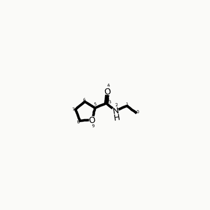 CCNC(=O)C1CCCO1